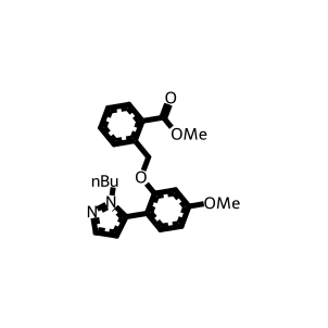 CCCCn1nccc1-c1ccc(OC)cc1OCc1ccccc1C(=O)OC